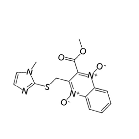 COC(=O)c1c(CSc2nccn2C)[n+]([O-])c2ccccc2[n+]1[O-]